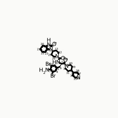 Nc1c(Br)cc(C[C@@H](NC(=O)N2CCC(n3c(=O)[nH]c4ccccc43)CC2)C(=O)N2CCC(c3ccncc3)CC2)cc1Br